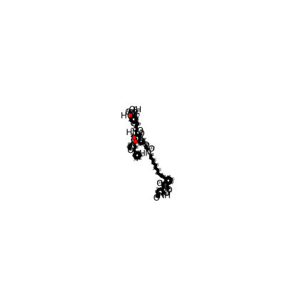 CC(C)(C)[C@H](NC(=O)c1cc2cc(C(F)(F)P(=O)(O)O)ccc2s1)C(=O)N1C[C@@H](OCC(=O)NCCCCCCCCC#Cc2cccc3c2C(=O)N(C2CCC(=O)NC2=O)C3=O)C[C@H]1C(=O)N1CCOC(c2ccccc2)C1